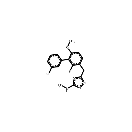 CNc1nnc(Cc2ccc(OC)c(-c3cccc(Cl)c3)c2F)s1